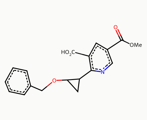 COC(=O)c1cnc(C2CC2OCc2ccccc2)c(C(=O)O)c1